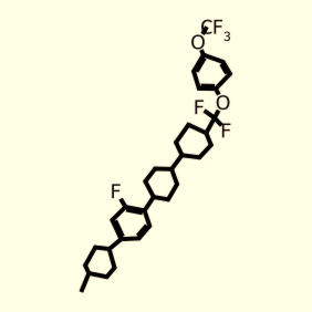 CC1CCC(c2ccc(C3CCC(C4CCC(C(F)(F)Oc5ccc(OC(F)(F)F)cc5)CC4)CC3)c(F)c2)CC1